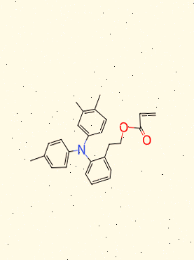 C=CC(=O)OCCc1ccccc1N(c1ccc(C)cc1)c1ccc(C)c(C)c1